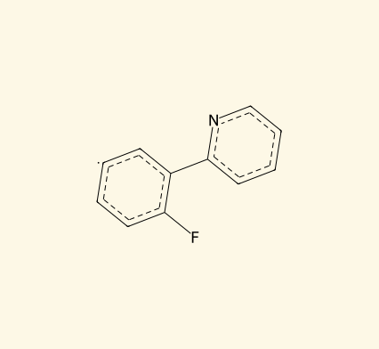 Fc1cc[c]cc1-c1ccccn1